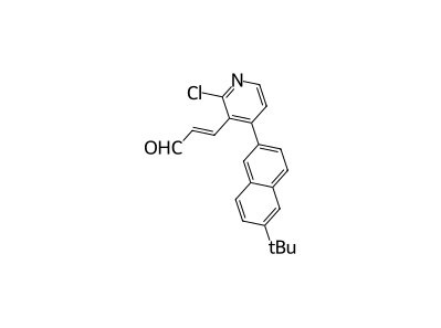 CC(C)(C)c1ccc2cc(-c3ccnc(Cl)c3C=CC=O)ccc2c1